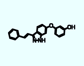 Oc1cccc(Oc2ccc3c(C=Cc4ccccc4)n[nH]c3c2)c1